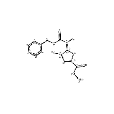 CN(C(=O)OCc1ccccc1)[C@H]1CN(C(=O)OC(C)(C)C)C[C@H]1F